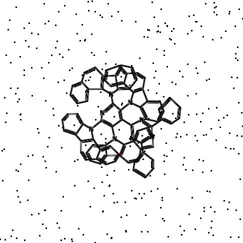 c1ccc(-c2nc(-c3ccccc3)nc(-c3c(-n4c5ccccc5c5ccc6ccccc6c54)c(-n4c5ccccc5c5ccc6ccccc6c54)nc(-n4c5ccccc5c5ccc6ccccc6c54)c3-n3c4ccccc4c4ccc5ccccc5c43)n2)cc1